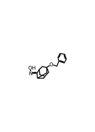 ON=C1C2CC3CC1CC(OCc1ccccc1)(C3)C2